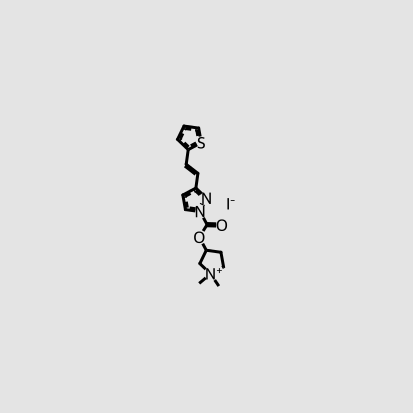 C[N+]1(C)CCC(OC(=O)n2ccc(/C=C/c3cccs3)n2)C1.[I-]